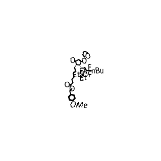 CCCCC(F)(F)C(CC[C@H]1[C@H](OC2CCCO2)CC(=O)[C@@H]1CCCCCCC(=O)OCc1ccc(OC)cc1)O[Si](CC)(CC)CC